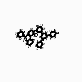 c1ccc(-c2cc(-c3ccccc3)cc(-c3cccc4c3oc3c4ccc4c(-c5ccccc5)nc5ccccc5c43)c2)cc1